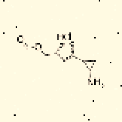 Cl.NC1CC1c1cc(COC=O)cs1